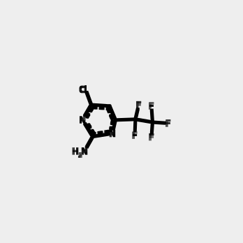 Nc1nc(Cl)cc(C(F)(F)C(F)(F)F)n1